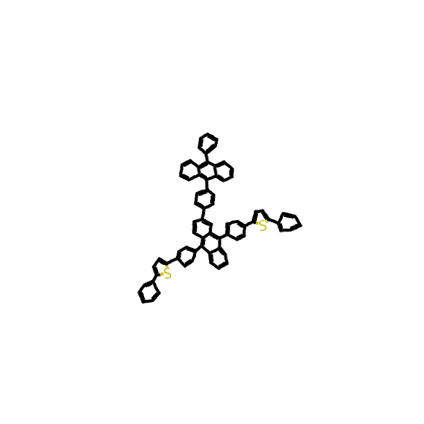 c1ccc(-c2ccc(-c3ccc(-c4c5ccccc5c(-c5ccc(-c6ccc(-c7ccccc7)s6)cc5)c5cc(-c6ccc(-c7c8ccccc8c(-c8ccccc8)c8ccccc78)cc6)ccc45)cc3)s2)cc1